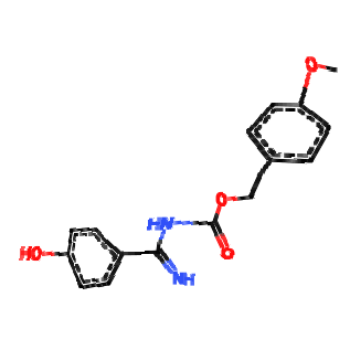 COc1ccc(COC(=O)NC(=N)c2ccc(O)cc2)cc1